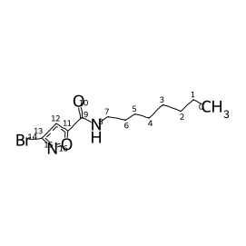 CCCCCCCCNC(=O)c1cc(Br)no1